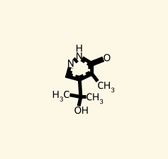 Cc1c(C(C)(C)O)cn[nH]c1=O